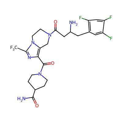 NC(=O)C1CCN(C(=O)c2nc(C(F)(F)F)n3c2CN(C(=O)CC(N)Cc2cc(F)c(F)cc2F)CC3)CC1